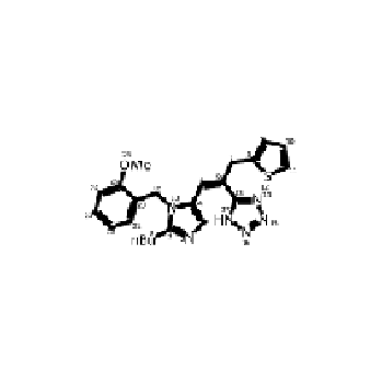 CCCCc1ncc(C=C(Cc2cccs2)c2nnn[nH]2)n1Cc1ccccc1OC